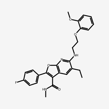 CCc1cc2c(C(=O)NC)c(-c3ccc(F)cc3)oc2nc1NCCOc1ccccc1OC